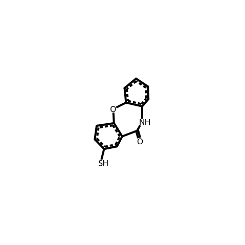 O=C1Nc2ccccc2Oc2ccc(S)cc21